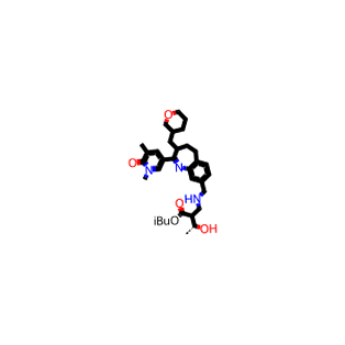 Cc1cc(C2=Nc3cc(CNCC(C(=O)OCC(C)C)[C@@H](C)O)ccc3CCC2CC2CCCOC2)cn(C)c1=O